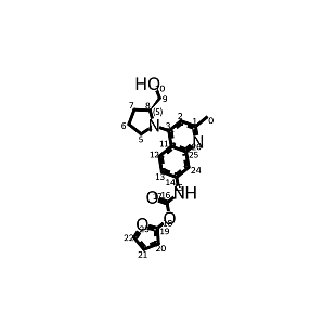 Cc1cc(N2CCC[C@H]2CO)c2ccc(NC(=O)Oc3ccco3)cc2n1